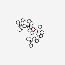 CC12CCCCC1(C)N(c1ccccc1)c1ccc(N(c3c(-c4ccccc4)ccc4ccc(-c5ccccc5)cc34)c3ccc4ccc5c(N(c6ccc7c(c6)C6(C)CCCCC6(C)N7c6ccccc6)c6c(-c7ccccc7)ccc7ccc(-c8ccccc8)cc67)ccc6ccc3c4c65)cc12